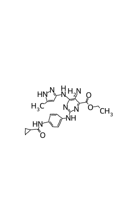 CCOC(=O)c1nc(Nc2ccc(NC(=O)C3CC3)cc2)nc(Nc2cc(C)[nH]n2)c1N